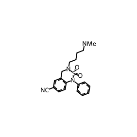 CNCCCCN1Cc2cc(C#N)ccc2N(c2ccccc2)S1(=O)=O